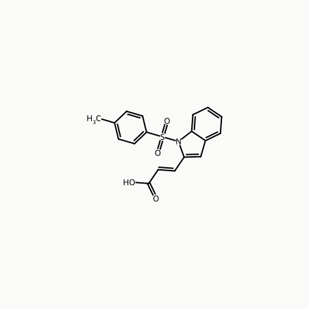 Cc1ccc(S(=O)(=O)n2c(C=CC(=O)O)cc3ccccc32)cc1